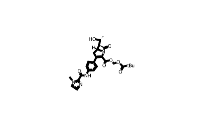 C[C@@H](O)[C@H]1C(=O)N2C(C(=O)OCOC(=O)C(C)(C)C)=C(c3ccc(NC(=O)c4nccn4C)cc3)C[C@H]12